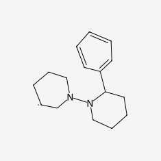 [CH]1CCCN(N2CCCCC2c2ccccc2)C1